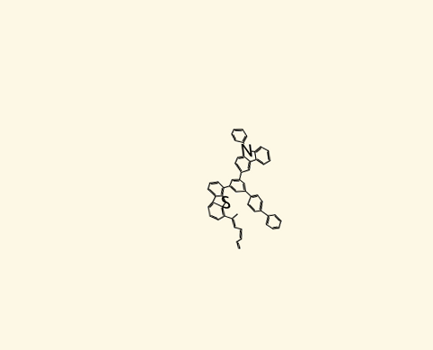 C=C/C=C\C=C(/C)c1cccc2c1sc1c(-c3cc(-c4ccc(-c5ccccc5)cc4)cc(-c4ccc5c(c4)c4ccccc4n5-c4ccccc4)c3)cccc12